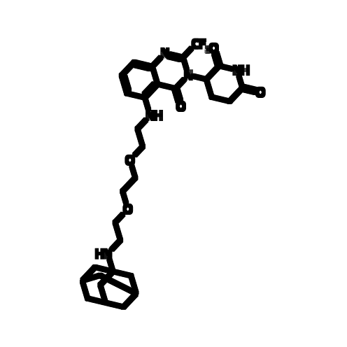 O=C1CCC(n2c(C(F)(F)F)nc3cccc(NCCOCCOCCNC45CC6CC(CC(C6)C4)C5)c3c2=O)C(=O)N1